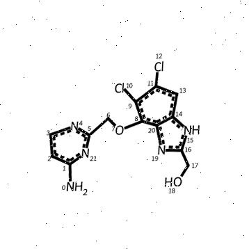 Nc1ccnc(COc2c(Cl)c(Cl)cc3[nH]c(CO)nc23)n1